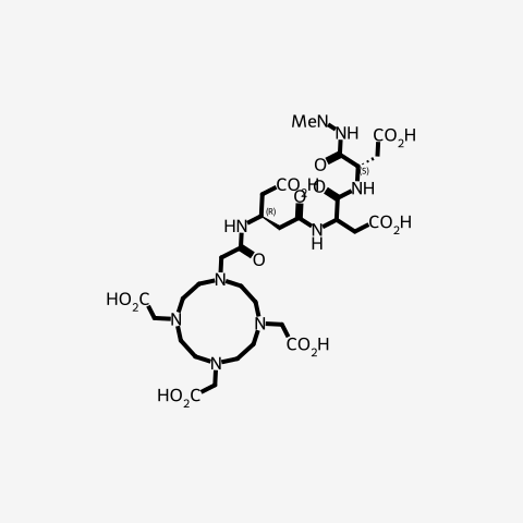 CNNC(=O)[C@H](CC(=O)O)NC(=O)C(CC(=O)O)NC(=O)C[C@H](CC(=O)O)NC(=O)CN1CCN(CC(=O)O)CCN(CC(=O)O)CCN(CC(=O)O)CC1